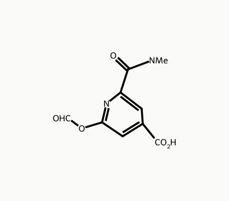 CNC(=O)c1cc(C(=O)O)cc(OC=O)n1